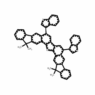 CC1(C)c2ccccc2-c2cc3c(-c4csc5ccccc45)cc4c5cc(-c6csc7ccccc67)c6cc7c(cc6c5oc4c3cc21)C(C)(C)c1ccccc1-7